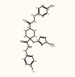 CC1C=CC(CC2(C(=O)NCc3ccc(F)cc3)CCN(C(=O)COc3ccc(Cl)cc3)CC2)=C1